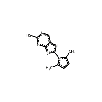 Cc1ccc(C)n1-c1nc2cnc(S)nc2s1